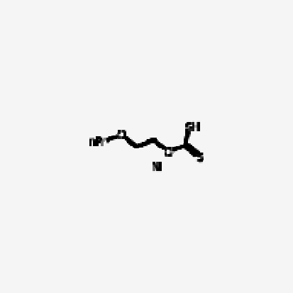 CCCOCCOC(=S)S.[Ni]